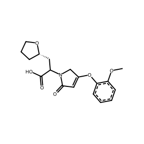 COc1ccccc1OC1=CC(=O)N(C(C[C@@H]2CCCO2)C(=O)O)C1